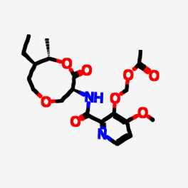 CC[C@@H]1CCOC[C@H](NC(=O)c2nccc(OC)c2OCOC(C)=O)C(=O)O[C@H]1C